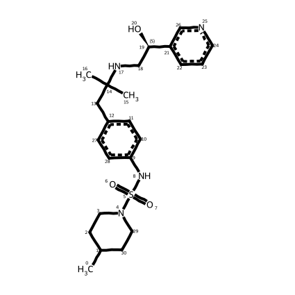 CC1CCN(S(=O)(=O)Nc2ccc(CC(C)(C)NC[C@@H](O)c3cccnc3)cc2)CC1